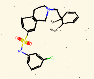 CC1(CN2CCc3ccc(S(=O)(=O)Nc4cccc(Cl)c4)cc3C2)C=CC=CC1C(=O)O